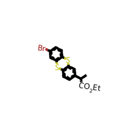 CCOC(=O)C(C)c1ccc2c(c1)Sc1ccc(Br)cc1S2